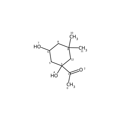 CC(=O)C1(O)CC(O)CC(C)(C)C1